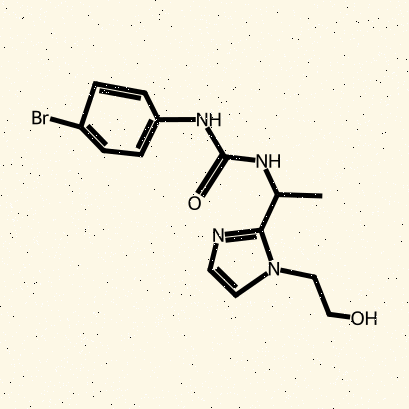 CC(NC(=O)Nc1ccc(Br)cc1)c1nccn1CCO